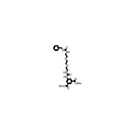 COC(=O)c1cc(NC(=O)NCCOCCOCCNC(=O)OCc2ccccc2)cc(C(=O)OC)c1